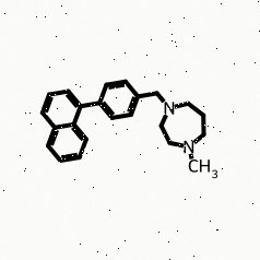 CN1CCCN(Cc2ccc(-c3cccc4ccccc34)cc2)CC1